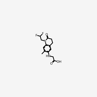 Cc1cc2c(cc1NCC(=O)O)CCC(=O)N2CC(F)F